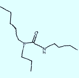 CCCCCN(CCC)C(=O)NCCCC